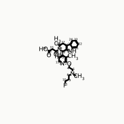 Cc1c(OCCN(C)CCCF)ncc(F)c1[C@@H]1c2[nH]c3ccccc3c2C[C@@H](C)N1[C@@H](C)CC(=O)O